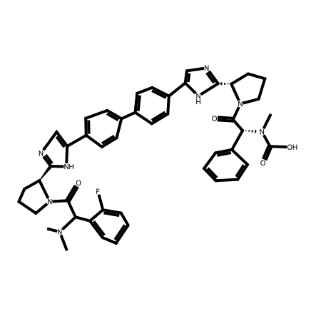 CN(C)C(C(=O)N1CCC[C@H]1c1ncc(-c2ccc(-c3ccc(-c4cnc([C@@H]5CCCN5C(=O)[C@@H](c5ccccc5)N(C)C(=O)O)[nH]4)cc3)cc2)[nH]1)c1ccccc1F